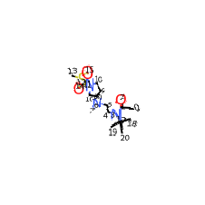 CC(=O)N(CCN(C)[C@@H]1CCN(S(C)(=O)=O)C1)C(C)(C)C